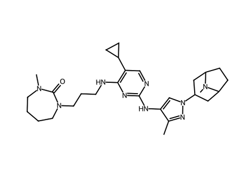 Cc1nn(C2CC3CCC(C2)N3C)cc1Nc1ncc(C2CC2)c(NCCCN2CCCCN(C)C2=O)n1